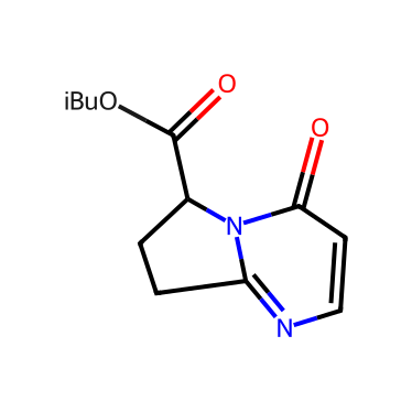 CC(C)COC(=O)C1CCc2nccc(=O)n21